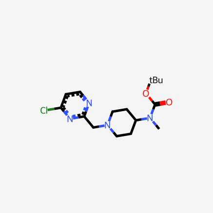 CN(C(=O)OC(C)(C)C)C1CCN(Cc2nccc(Cl)n2)CC1